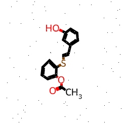 CC(=O)Oc1ccccc1SC=Cc1cccc(O)c1